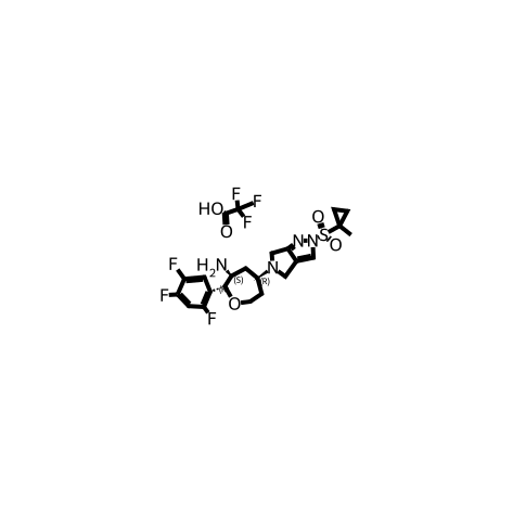 CC1(S(=O)(=O)n2cc3c(n2)CN([C@H]2CCO[C@H](c4cc(F)c(F)cc4F)[C@@H](N)C2)C3)CC1.O=C(O)C(F)(F)F